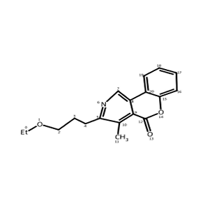 CCOCCCc1ncc2c(c1C)c(=O)oc1ccccc12